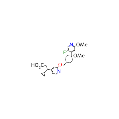 COc1cc([C@]2(OC)CC[C@H](COc3cc(C(CC(=O)O)C4CC4)ccn3)CC2)c(F)cn1